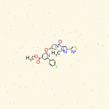 COC(=O)c1cc(OC2C3CN(C(=O)c4cc(-c5cscn5)nn4C)CC32)nc(-c2ccc(F)cc2)c1